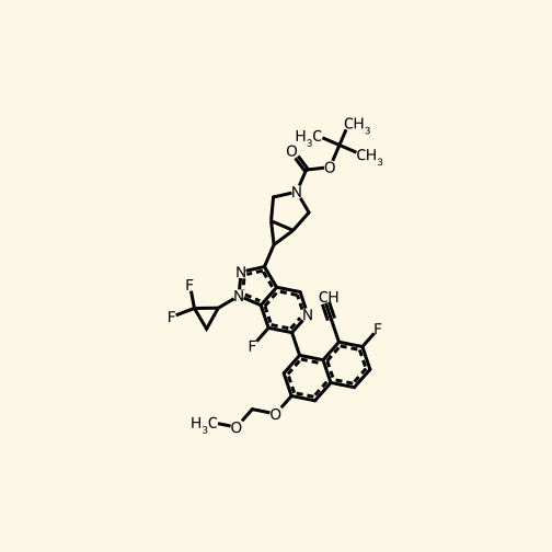 C#Cc1c(F)ccc2cc(OCOC)cc(-c3ncc4c(C5C6CN(C(=O)OC(C)(C)C)CC65)nn(C5CC5(F)F)c4c3F)c12